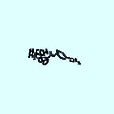 CCc1ccc(/C=C/C(=O)CC(=O)C(C)(C)C)cc1